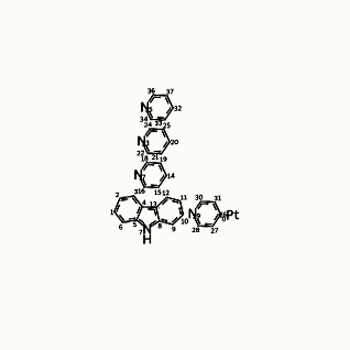 [Pt].c1ccc2c(c1)[nH]c1ccccc12.c1ccncc1.c1ccncc1.c1ccncc1.c1ccncc1